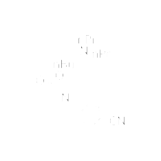 CCCCOC(=O)CN(CCCCN(CCC)CCC)Cc1ccc(C#N)cc1